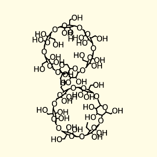 CCC1OC2OC3C(CO)OC(OC4C(CO)OC(OC5C(COCC(O)COCC6OC7OC8C(CO)OC(OC9C(CO)OC(OC%10C(CO)OC(OC%11C(CO)OC(OC%12C(CO)OC(OC6C(O)C7O)C(O)C%12O)C(O)C%11O)C(O)C%10O)C(O)C9O)C(O)C8O)OC(OC6C(CO)OC(OC7C(CO)OC(OC1C(O)C2O)C(O)C7O)C(O)C6O)C(O)C5O)C(O)C4O)C(O)C3O